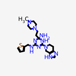 CN1CCN(CCC2(N)N=C(NCc3cccs3)N=C(N3CCc4nc[nH]c4C3)N2)CC1